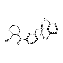 CCCC1CCCCN1C(=O)c1cccc(CS(=O)(=O)c2c(C)cccc2Cl)n1